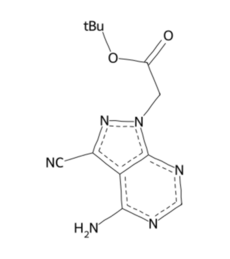 CC(C)(C)OC(=O)Cn1nc(C#N)c2c(N)ncnc21